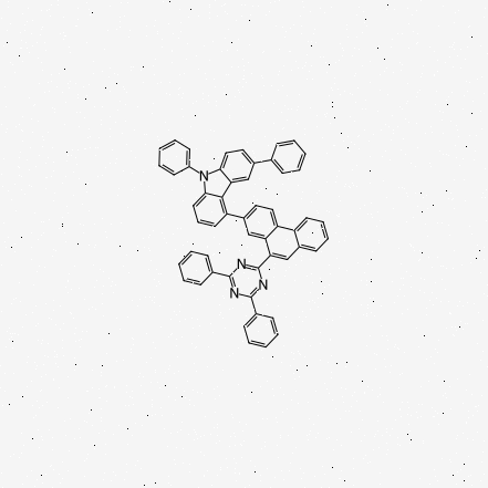 c1ccc(-c2ccc3c(c2)c2c(-c4ccc5c(c4)c(-c4nc(-c6ccccc6)nc(-c6ccccc6)n4)cc4ccccc45)cccc2n3-c2ccccc2)cc1